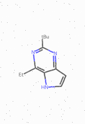 CCc1nc(C(C)(C)C)nc2cc[nH]c12